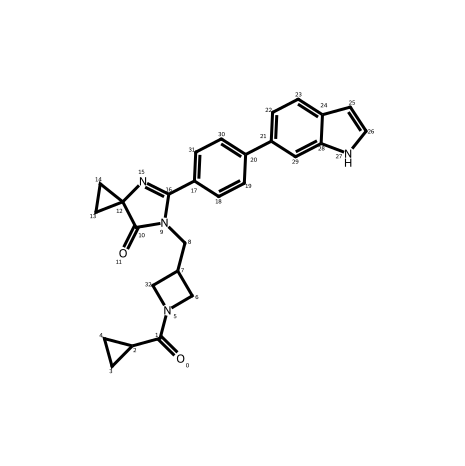 O=C(C1CC1)N1CC(CN2C(=O)C3(CC3)N=C2c2ccc(-c3ccc4cc[nH]c4c3)cc2)C1